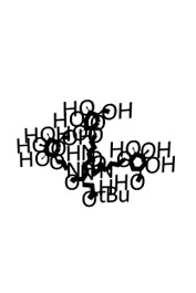 CC(C)(C)C(=O)CC[C@@H](C(=O)NCCO[C@@H]1O[C@H](CO)[C@@H](O)[C@H](O)[C@H]1O)N(CC(=O)NCCO[C@@H]1O[C@H](CO)[C@@H](O)[C@H](O)[C@H]1O)CC(=O)NCCO[C@@H]1C[C@H](CO)[C@@H](O)[C@H](O)[C@H]1O